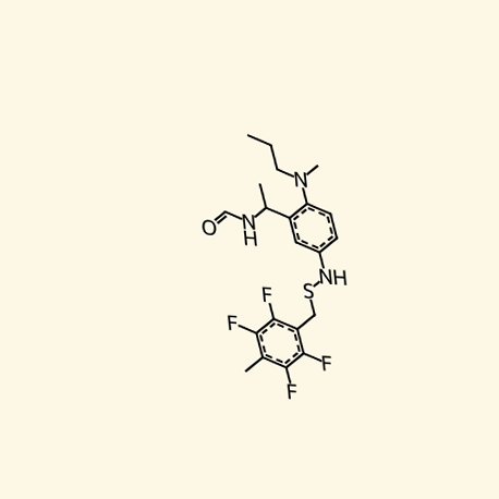 CCCN(C)c1ccc(NSCc2c(F)c(F)c(C)c(F)c2F)cc1C(C)NC=O